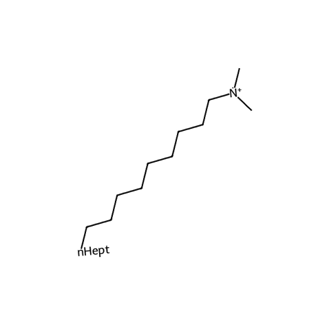 CCCCCCCCCCCCCCCC[N+](C)C